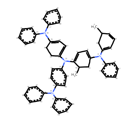 CC1C=CC=C(N(C2=CC=C(N(C3=CC=C(N(c4ccccc4)c4ccccc4)CC3)c3ccc(N(c4ccccc4)c4ccccc4)cc3)C(C)C2)c2ccccc2)C1